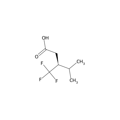 CC(C)[C@H](CC(=O)O)C(F)(F)F